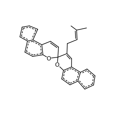 CC(C)=CCC1=Cc2c(ccc3ccccc23)OC12C=Cc1c(ccc3ccccc13)O2